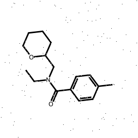 [CH2]c1ccc(C(=O)N(CC)CC2CCCCO2)cc1